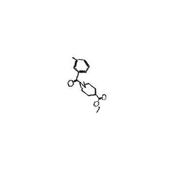 CCOC(=O)C1CCN(C(=O)c2cccc(C)c2)CC1